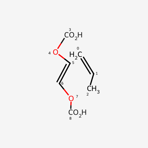 C=CC.O=C(O)O/C=C/OC(=O)O